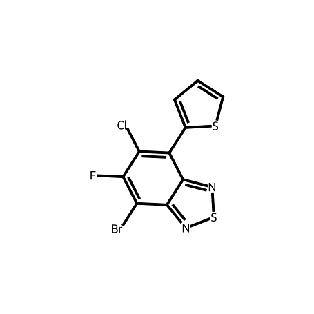 Fc1c(Cl)c(-c2cccs2)c2nsnc2c1Br